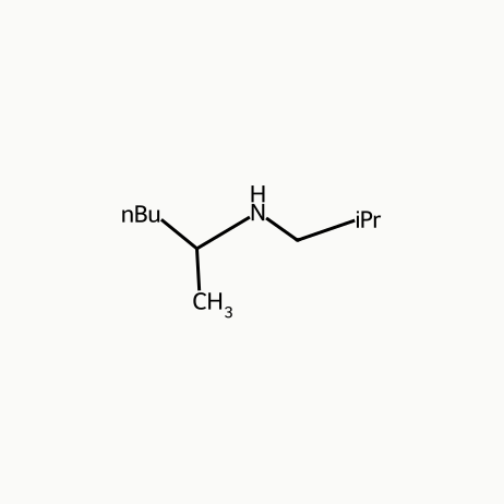 CCCCC(C)NCC(C)C